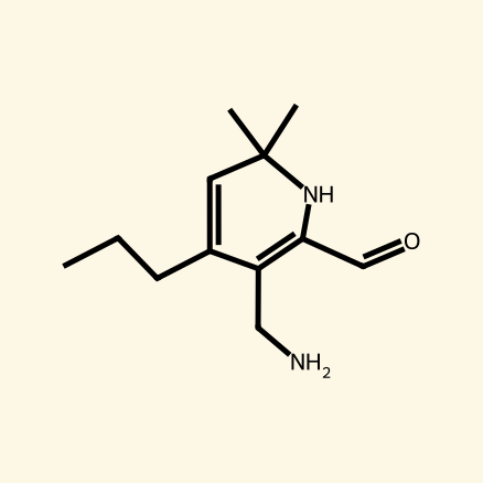 CCCC1=CC(C)(C)NC(C=O)=C1CN